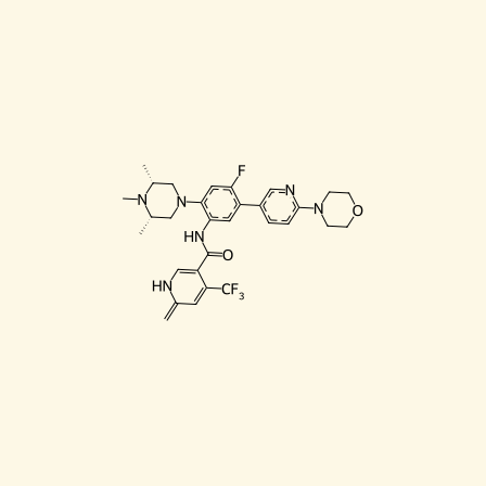 C=C1C=C(C(F)(F)F)C(C(=O)Nc2cc(-c3ccc(N4CCOCC4)nc3)c(F)cc2N2C[C@@H](C)N(C)[C@@H](C)C2)=CN1